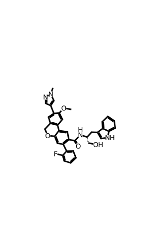 COc1cc2c(cc1-c1cnn(C)c1)COc1cc(-c3ccccc3F)c(C(=O)N[C@@H](CO)Cc3c[nH]c4ccccc34)cc1-2